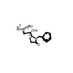 CC[C@@H](C)N(C[C@H](O)[C@@H]1CCC(=O)N1Cc1ccccc1)[C@H](C)CC